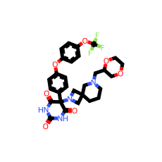 O=C1NC(=O)C(c2ccc(Oc3ccc(OC(F)(F)F)cc3)cc2)(N2CC3(CCCN(CC4COCCO4)C3)C2)C(=O)N1